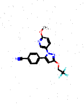 COc1ccc(-n2nc(OCC(F)(F)F)cc2-c2ccc(C#N)cc2)cn1